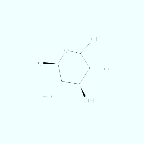 C[C@H]1OC(O)[C@H](O)[C@@H](O)[C@@H]1O